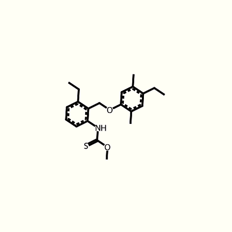 CCc1cc(C)c(OCc2c(CC)cccc2NC(=S)OC)cc1C